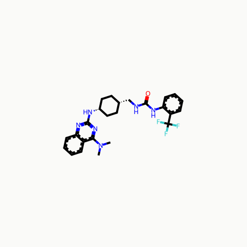 CN(C)c1nc(N[C@H]2CC[C@@H](CNC(=O)Nc3ccccc3C(F)(F)F)CC2)nc2ccccc12